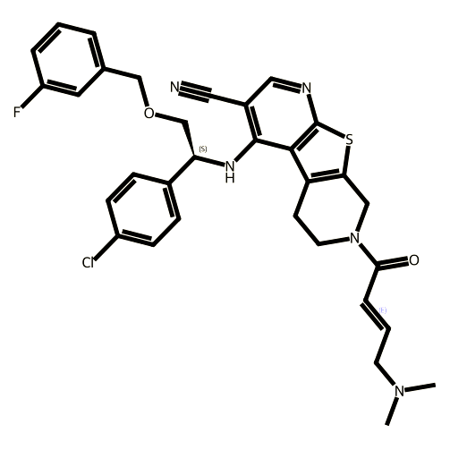 CN(C)C/C=C/C(=O)N1CCc2c(sc3ncc(C#N)c(N[C@H](COCc4cccc(F)c4)c4ccc(Cl)cc4)c23)C1